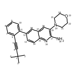 CC(C)(C)C#Cc1ccccc1-c1ccc2nc(N)c(N3CCOCC3)cc2c1